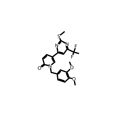 COc1ccc(Cn2cc(-c3cc(C(C)(F)F)nc(SC)n3)ccc2=O)cc1OC